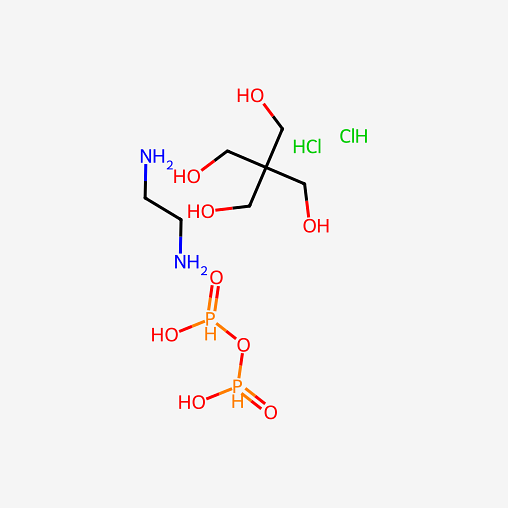 Cl.Cl.NCCN.O=[PH](O)O[PH](=O)O.OCC(CO)(CO)CO